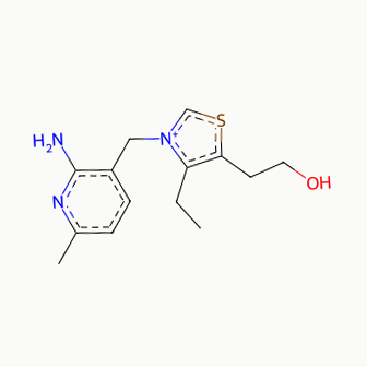 CCc1c(CCO)sc[n+]1Cc1ccc(C)nc1N